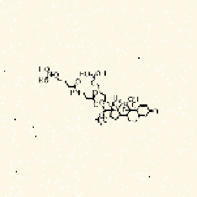 C[C@H]1CC2C3CCC4=CC(=O)C=C[C@]4(C)[C@@]3(F)[C@@H](O)C[C@]2(C)[C@@]1(OC(=O)CCCON(O)O)C(=O)COC(=O)CCNC(=O)CCCON(O)O